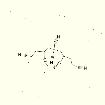 N#CCCC(C#N)CC(C#N)(C#N)CC(C#N)CCC#N